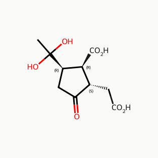 CC(O)(O)[C@@H]1CC(=O)[C@@H](CC(=O)O)[C@@H]1C(=O)O